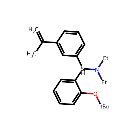 C=C(C)c1cccc([SiH](c2ccccc2OC(C)(C)C)N(CC)CC)c1